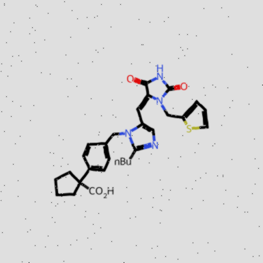 CCCCc1ncc(C=C2C(=O)NC(=O)N2Cc2cccs2)n1Cc1ccc(C2(C(=O)O)CCCC2)cc1